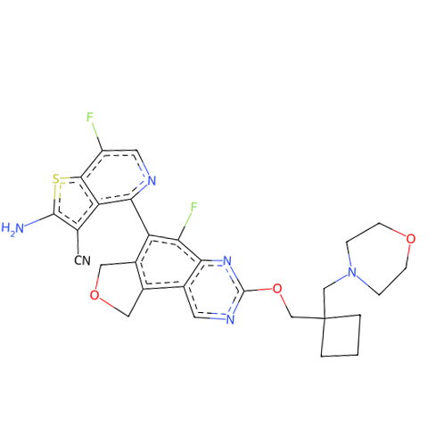 N#Cc1c(N)sc2c(F)cnc(-c3c4c(c5cnc(OCC6(CN7CCOCC7)CCC6)nc5c3F)COC4)c12